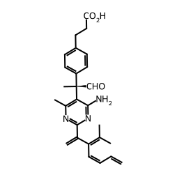 C=C/C=C\C(C(=C)c1nc(C)c([C@@](C)(C=O)c2ccc(CCC(=O)O)cc2)c(N)n1)=C(C)C